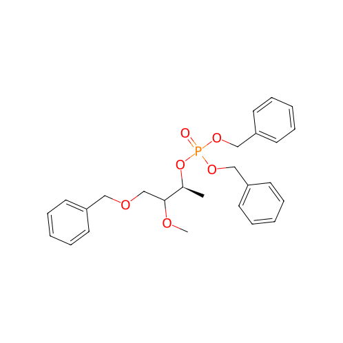 COC(COCc1ccccc1)[C@H](C)OP(=O)(OCc1ccccc1)OCc1ccccc1